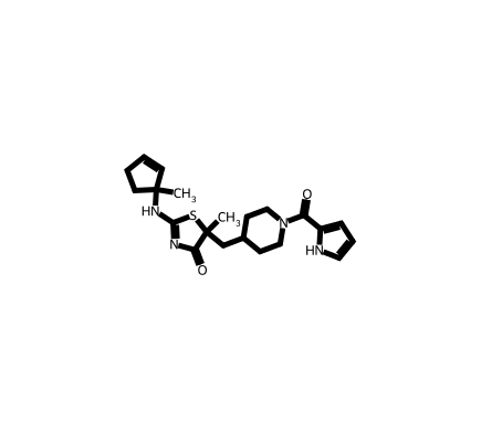 CC1(NC2=NC(=O)C(C)(CC3CCN(C(=O)c4ccc[nH]4)CC3)S2)C=CCC1